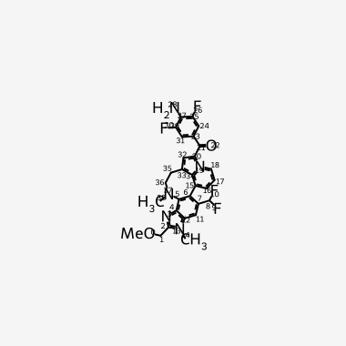 COCc1nc2c3c(c(C(F)F)cc2n1C)-c1cccn2c(C(=O)c4cc(F)c(N)c(F)c4)cc(c12)CCN3C